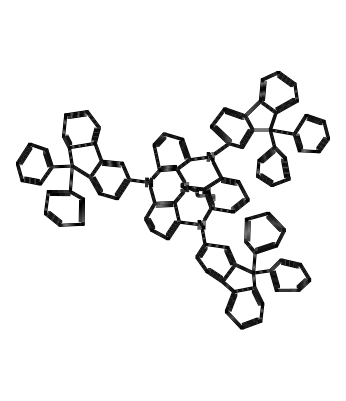 C[Si]12c3c4cccc3N(c3ccc5c(c3)C(c3ccccc3)(c3ccccc3)c3ccccc3-5)c3cccc(c31)N(c1ccc3c(c1)C(c1ccccc1)(c1ccccc1)c1ccccc1-3)c1cccc(c12)N4c1ccc2c(c1)-c1ccccc1C2(c1ccccc1)c1ccccc1